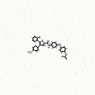 Cc1ccc(C2=C(c3ccccc3F)CN(C(=O)Nc3ccc(Oc4ccc(OC(F)F)cc4)cc3)N2)cc1